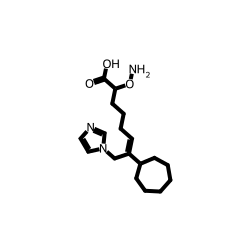 NOC(CCCC=C(Cn1ccnc1)C1CCCCCC1)C(=O)O